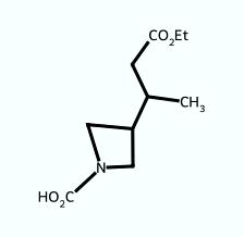 CCOC(=O)CC(C)C1CN(C(=O)O)C1